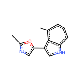 Cc1ncc(-c2c[nH]c3cccc(C)c23)o1